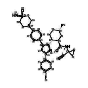 N#CC1(NC(=O)[C@@H]2C[C@@H](F)CC[C@H]2c2nn(-c3ccc(F)cc3)cc2-c2ccc(N3CCS(=N)(=O)CC3)cc2)CC1